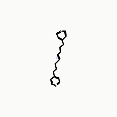 C(=C\CCCc1ccncc1)/CCCc1ccncc1